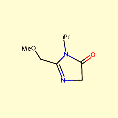 COCC1=NCC(=O)N1C(C)C